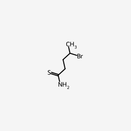 CC(Br)CCC(N)=S